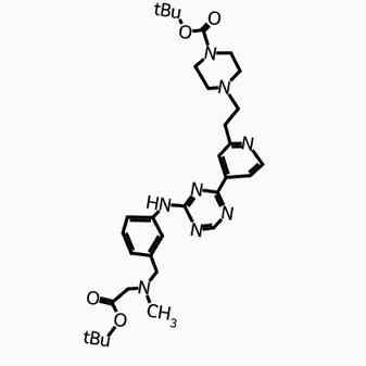 CN(CC(=O)OC(C)(C)C)Cc1cccc(Nc2ncnc(-c3ccnc(CCN4CCN(C(=O)OC(C)(C)C)CC4)c3)n2)c1